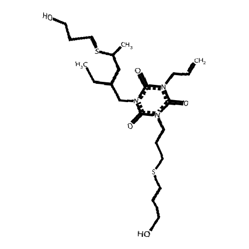 C=CCn1c(=O)n(CCCSCCCO)c(=O)n(CC(CC)CC(C)SCCCO)c1=O